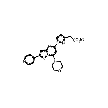 CCOC(=O)Cc1ccn(-c2cc(N3CCOCC3)n3nc(-c4ccncc4)cc3n2)n1